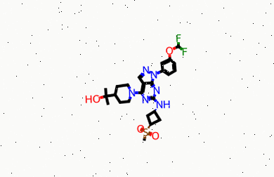 CC(C)(O)C1CCN(c2nc(N[C@H]3C[C@H](S(C)(=O)=O)C3)nc3c2cnn3-c2cccc(OC(F)F)c2)CC1